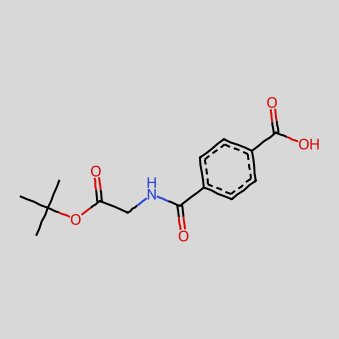 CC(C)(C)OC(=O)CNC(=O)c1ccc(C(=O)O)cc1